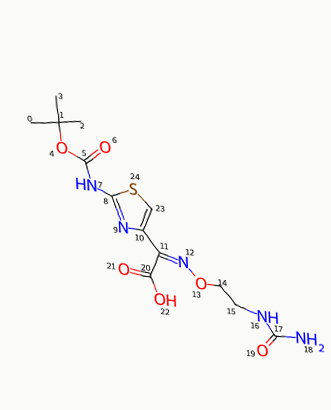 CC(C)(C)OC(=O)Nc1nc(/C(=N/OCCNC(N)=O)C(=O)O)cs1